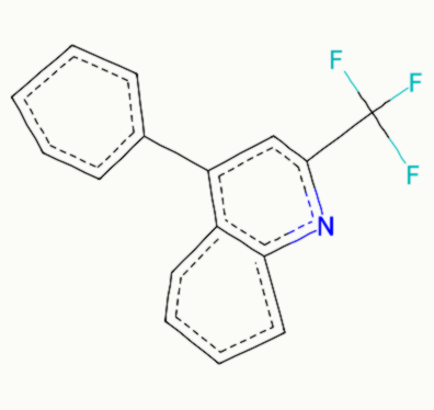 FC(F)(F)c1cc(-c2ccccc2)c2ccccc2n1